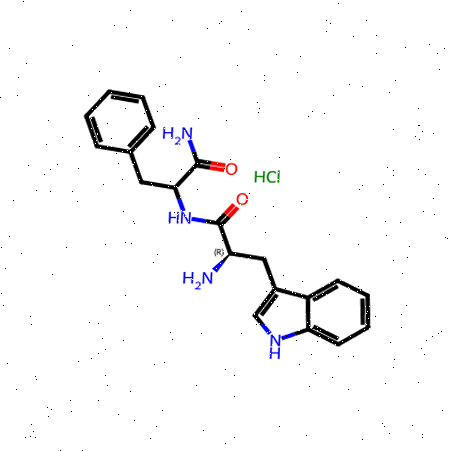 Cl.NC(=O)C(Cc1ccccc1)NC(=O)[C@H](N)Cc1c[nH]c2ccccc12